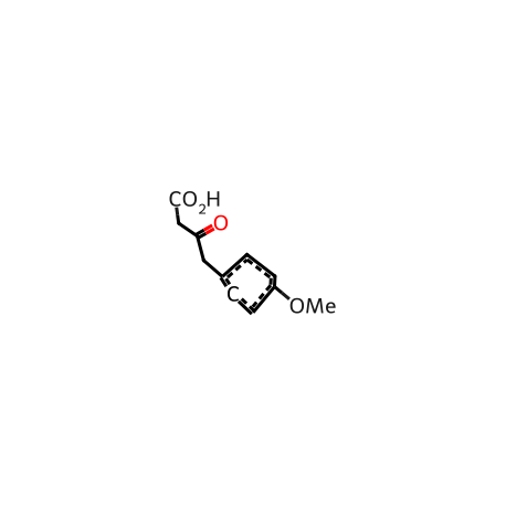 COc1ccc(CC(=O)CC(=O)O)cc1